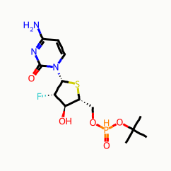 CC(C)(C)O[PH](=O)OC[C@H]1S[C@@H](n2ccc(N)nc2=O)[C@@H](F)[C@@H]1O